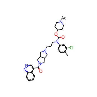 CC(=O)N1CCC(OC(=O)N(CCCN2CC3CN(C(=O)c4cnnc5ccccc45)CC3C2)c2ccc(C)c(Cl)c2)CC1